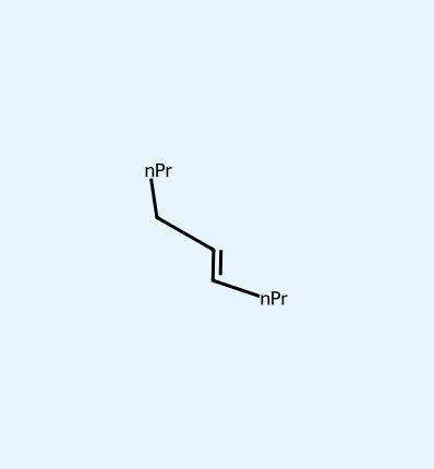 C[CH]C/C=C/CCCC